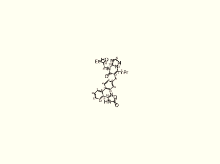 CCCc1c(Cc2ccc(-c3ccccc3-c3noc(=O)[nH]3)cc2)c(=O)n(CC(O)CC)c2ncnn12